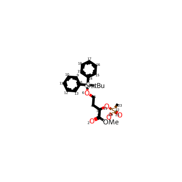 COC(=O)C(CCO[Si](c1ccccc1)(c1ccccc1)C(C)(C)C)OS(C)(=O)=O